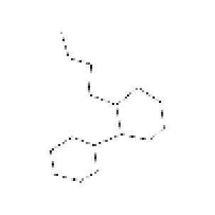 CCCCC1CCCCC1C1CCCCC1